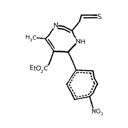 CCOC(=O)C1=C(C)N=C(C=S)NC1c1ccc([N+](=O)[O-])cc1